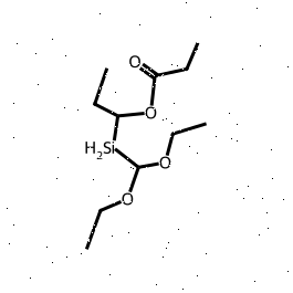 CCOC(OCC)[SiH2]C(CC)OC(=O)CC